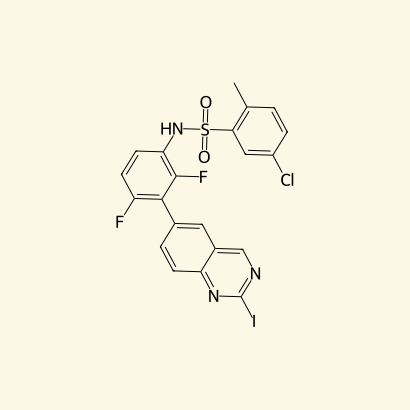 Cc1ccc(Cl)cc1S(=O)(=O)Nc1ccc(F)c(-c2ccc3nc(I)ncc3c2)c1F